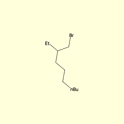 CCCCCCCC(CC)CBr